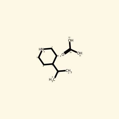 CC(C)C1CCNCC1.O=C(O)O